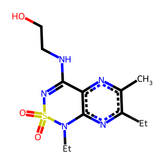 CCc1nc2c(nc1C)C(NCCO)=NS(=O)(=O)N2CC